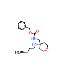 C#CCCCNC1(CNC(=O)OCc2ccccc2)CCOCC1